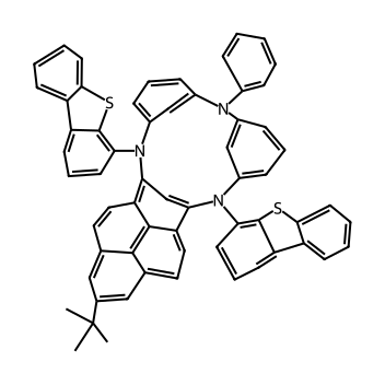 CC(C)(C)c1cc2ccc3c4cc(c5ccc(c1)c2c35)N(c1cccc2c1sc1ccccc12)c1cccc(c1)N(c1ccccc1)c1cccc(c1)N4c1cccc2c1sc1ccccc12